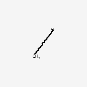 CCCCCCCCC=CCCCCCCCC[C]=O